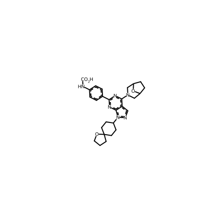 O=C(O)Nc1ccc(-c2nc(N3CC4CCC(C3)O4)c3cnn(C4CCC5(CCCO5)CC4)c3n2)cc1